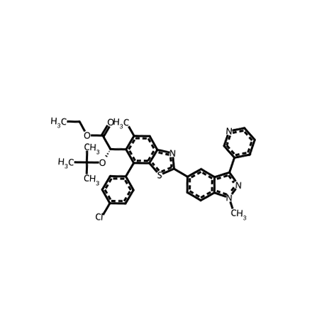 CCOC(=O)[C@@H](OC(C)(C)C)c1c(C)cc2nc(-c3ccc4c(c3)c(-c3cccnc3)nn4C)sc2c1-c1ccc(Cl)cc1